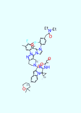 CCN(CC)C(=O)Cc1ccc(N2C=CN(c3c4c(nn3-c3cc(C)c(F)c(C)c3)CCN(C(=O)c3cc5cc([C@H]6CCOC(C)(C)C6)ccc5n3[C@@]3(C5=NOC(=C=O)N5)C[C@@H]3C)[C@H]4C)C2=C=O)c(F)c1